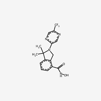 CC1(C)c2cccc(C(=O)NO)c2CN1c1cnc(C(F)(F)F)cn1